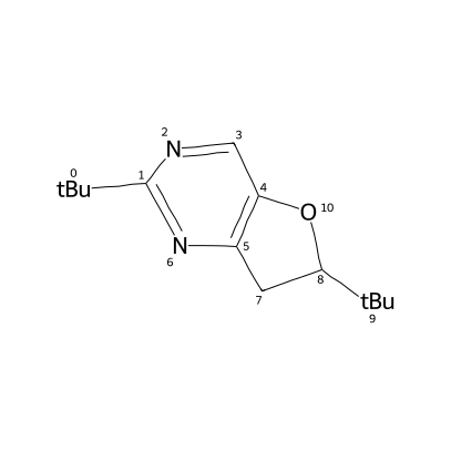 CC(C)(C)c1ncc2c(n1)CC(C(C)(C)C)O2